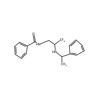 CC(NC(CNC(=O)c1ccccc1)C(F)(F)F)c1ccccc1